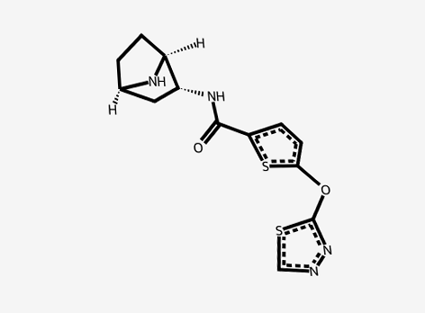 O=C(N[C@@H]1C[C@H]2CC[C@@H]1N2)c1ccc(Oc2nncs2)s1